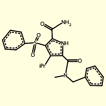 CC(C)c1c(C(=O)N(C)Cc2ccccc2)[nH]c(C(N)=O)c1S(=O)(=O)c1ccccc1